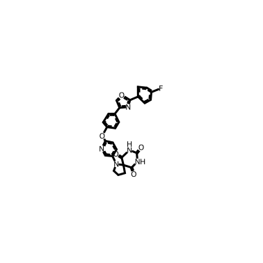 O=C1NC(=O)C2(CCCN2c2ccc(Oc3ccc(-c4coc(-c5ccc(F)cc5)n4)cc3)nc2)C(=O)N1